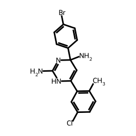 Cc1ccc(Cl)cc1C1=CC(N)(c2ccc(Br)cc2)N=C(N)N1